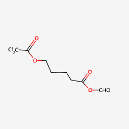 O=COC(=O)CCCCOC(=O)C(Cl)(Cl)Cl